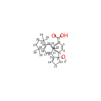 COC1(c2ccc(C(=O)O)cc2)CCC=C1c1cc2c(cc1C)C(C)(C)CCC2(C)C